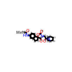 CNC(=O)Nc1ccc2c(c1)CCC21OC(=O)N(CC(=O)N2C3CCC2CC3)C1=O